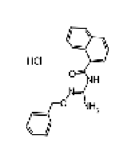 Cl.NC(=NOCc1ccccc1)NC(=O)c1cccc2ccccc12